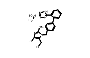 CCCCc1nc(Cl)c(CO)n1Cc1ccc(-c2ccccc2-c2nnn[nH]2)cc1.CS(=O)(=O)O